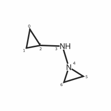 C1C[C]1NN1CC1